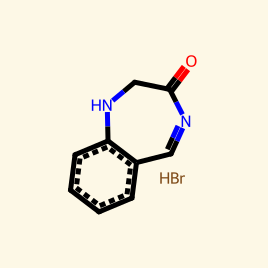 Br.O=C1CNc2ccccc2C=N1